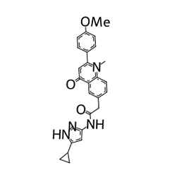 COc1ccc(-c2cc(=O)c3cc(CC(=O)Nc4cc(C5CC5)[nH]n4)ccc3n2C)cc1